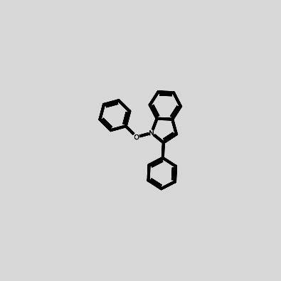 c1ccc(On2c(-c3ccccc3)cc3ccccc32)cc1